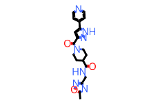 Cc1nc(CNC(=O)C2CCN(C(=O)c3cc(-c4ccncc4)[nH]n3)CC2)no1